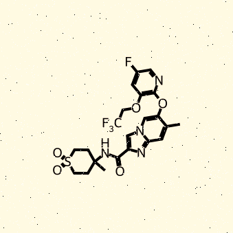 Cc1cc2nc(C(=O)NC3(C)CCS(=O)(=O)CC3)cn2cc1Oc1ncc(F)cc1OCC(F)(F)F